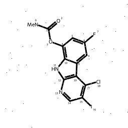 CNC(=O)Oc1cc(F)cc2c1[nH]c1ncc(I)c(Cl)c12